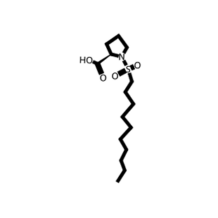 CCCCCCCCCCS(=O)(=O)N1CCC[C@@H]1C(=O)O